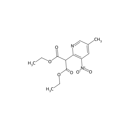 CCOC(=O)C(C(=O)OCC)c1ncc(C)cc1[N+](=O)[O-]